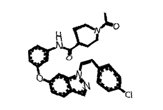 CC(=O)N1CCC(C(=O)Nc2cccc(Oc3ccc4cnn(C=Cc5ccc(Cl)cc5)c4c3)c2)CC1